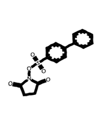 O=C1CCC(=O)N1OS(=O)(=O)c1ccc(-c2ccccc2)cc1